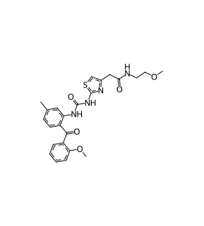 COCCNC(=O)Cc1csc(NC(=O)Nc2cc(C)ccc2C(=O)c2ccccc2OC)n1